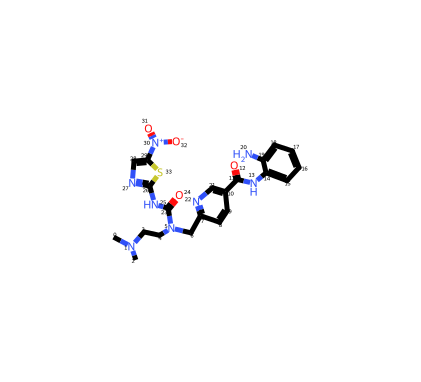 CN(C)CCN(Cc1ccc(C(=O)Nc2ccccc2N)cn1)C(=O)Nc1ncc([N+](=O)[O-])s1